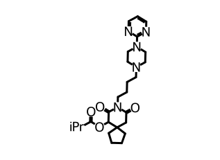 CC(C)C(=O)OC1C(=O)N(CCCCN2CCN(c3ncccn3)CC2)C(=O)CC12CCCC2